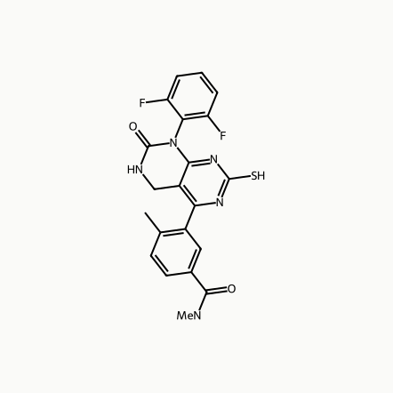 CNC(=O)c1ccc(C)c(-c2nc(S)nc3c2CNC(=O)N3c2c(F)cccc2F)c1